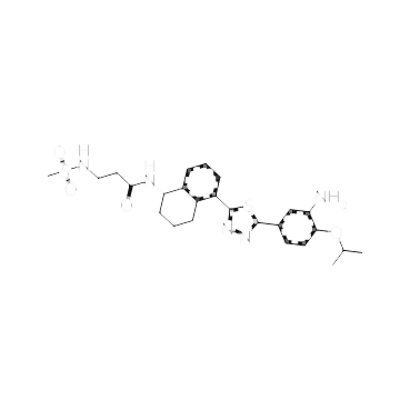 CC(C)Oc1ccc(-c2nnc(-c3cccc4c3CCC[C@@H]4NC(=O)CCNS(C)(=O)=O)s2)cc1N